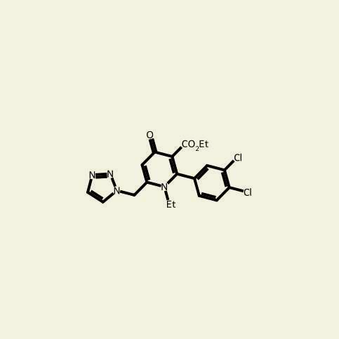 CCOC(=O)c1c(-c2ccc(Cl)c(Cl)c2)n(CC)c(Cn2ccnn2)cc1=O